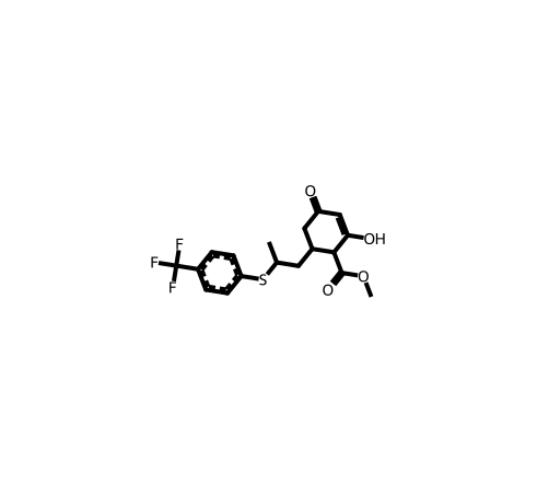 COC(=O)C1C(O)=CC(=O)CC1CC(C)Sc1ccc(C(F)(F)F)cc1